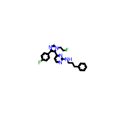 FCCn1cnc(-c2ccc(F)cc2)c1-c1ccnc(NCCCc2ccccc2)n1